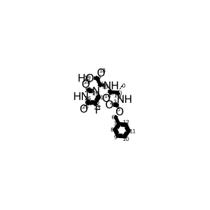 C[C@H](NC(=O)OCc1ccccc1)C(=O)NC(C(=O)O)n1cc(F)c(=O)[nH]c1=O